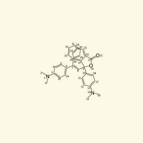 CN(C)c1ccc(C(=CC2(c3ccc(N(C)C)cc3)OC(=O)c3ccccc32)c2ccccc2)cc1